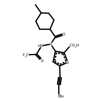 CC1CCC(C(=O)N(NC(=O)C(F)(F)F)c2cc(C#CC(C)(C)C)sc2C(=O)O)CC1